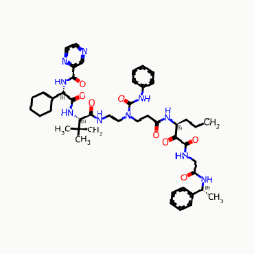 CCC[C@H](NC(=O)CCN(CCNC(=O)[C@@H](NC(=O)[C@@H](NC(=O)c1cnccn1)C1CCCCC1)C(C)(C)C)C(=O)Nc1ccccc1)C(=O)C(=O)NCC(=O)N[C@H](C)c1ccccc1